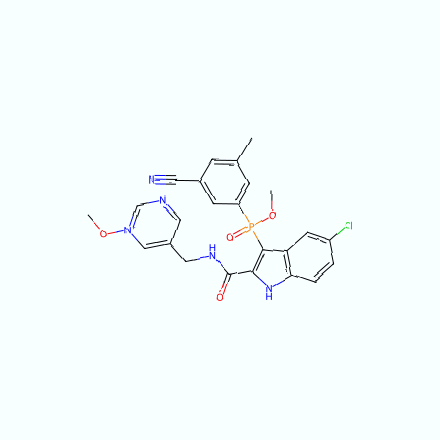 CO[n+]1cncc(CNC(=O)c2[nH]c3ccc(Cl)cc3c2P(=O)(OC)c2cc(C)cc(C#N)c2)c1